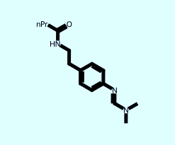 CCCC(=O)NCCc1ccc(N=CN(C)C)cc1